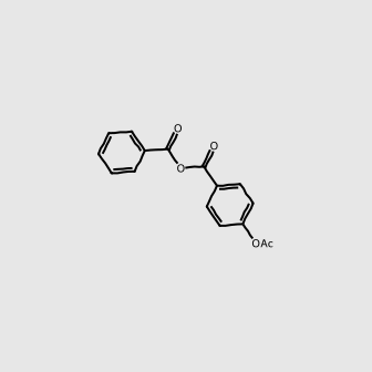 CC(=O)Oc1ccc(C(=O)OC(=O)c2ccccc2)cc1